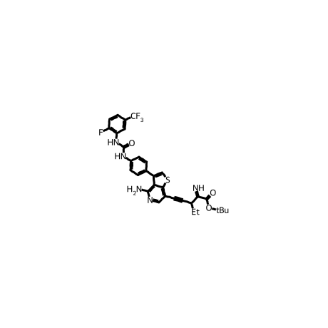 CCC(C#Cc1cnc(N)c2c(-c3ccc(NC(=O)Nc4cc(C(F)(F)F)ccc4F)cc3)csc12)C(=N)C(=O)OC(C)(C)C